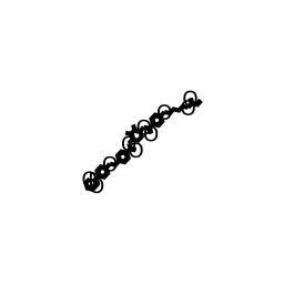 C=CC(=O)OCCCCOc1ccc(C(=O)OC2=C(C)C(C)=C(OC(=O)c3ccc(COc4ccc(B5OCCCO5)cc4)cc3)CC2)cc1